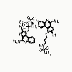 CCOCc1nc2c(N)nc3ccccc3c2n1CC(C)(C)NS(C)(=O)=O.CCc1nc2c(N)nc3ccccc3c2n1CCCCNS(C)(=O)=O